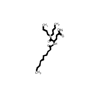 CCCCCCCCCC(=O)NC(CCC(=O)O)C(=O)N(CCCC)CCCC